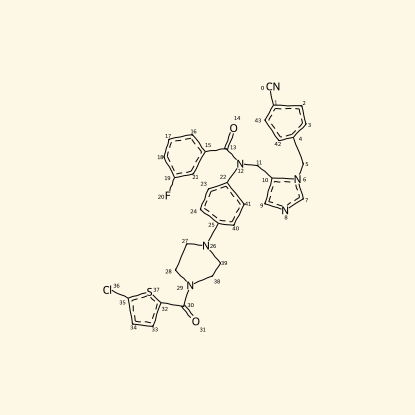 N#Cc1ccc(Cn2cncc2CN(C(=O)c2cccc(F)c2)c2ccc(N3CCN(C(=O)c4ccc(Cl)s4)CC3)cc2)cc1